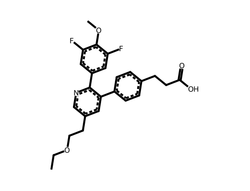 CCOCCc1cnc(-c2cc(F)c(OC)c(F)c2)c(-c2ccc(CCC(=O)O)cc2)c1